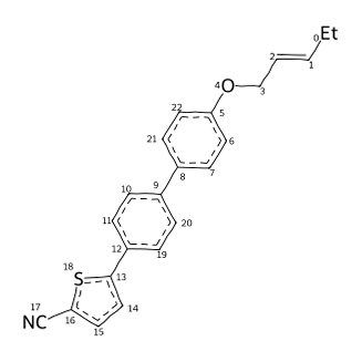 CC/C=C/COc1ccc(-c2ccc(-c3ccc(C#N)s3)cc2)cc1